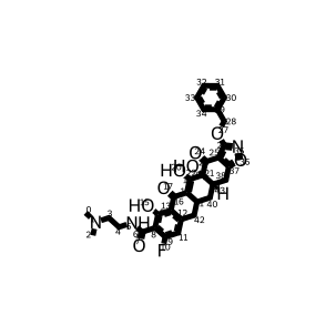 CN(C)CCNC(=O)c1c(F)cc2c(c1O)C(=O)C1=C(O)[C@]3(O)C(=O)c4c(OCc5ccccc5)noc4C[C@@H]3CC1C2